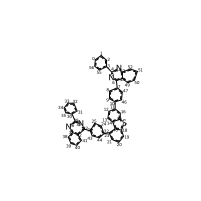 c1ccc(-c2nc(-c3ccc(-c4ccc5c(c4)sc4cccc(-c6ccc(-c7nc(-c8ccccc8)nc8ccccc78)cc6)c45)cc3)c3ccccc3n2)cc1